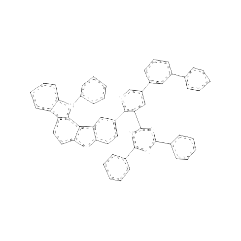 c1ccc(-c2cccc(-c3cnc(-c4ccc5sc6ccc7c8ccccc8n(-c8ccccc8)c7c6c5c4)c(-c4nc(-c5ccccc5)nc(-c5ccccc5)n4)c3)c2)cc1